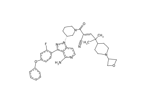 CC(C)(C=C(C#N)C(=O)N1CCC[C@@H](n2nc(-c3ccc(Oc4ccccc4)cc3F)c3c(N)nccc32)C1)C1CCN(C2COC2)CC1